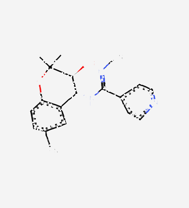 CC1(C)Oc2ccc(C#N)cc2[C@@H](NC(=NC#N)c2ccncc2)[C@@H]1O